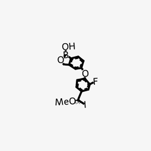 CO[C@@H](I)c1ccc(Oc2ccc3c(c2)COB3O)c(F)c1